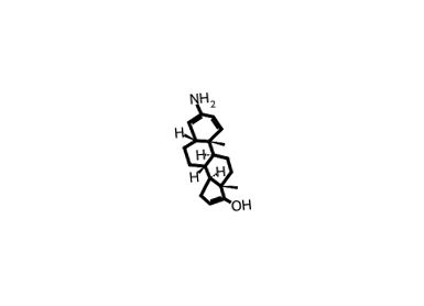 C[C@]12C=CC(N)=C[C@H]1CC[C@@H]1[C@@H]2CC[C@]2(C)C(O)=CC[C@@H]12